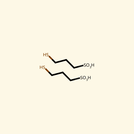 O=S(=O)(O)CCCS.O=S(=O)(O)CCCS